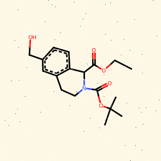 CCOC(=O)C1c2ccc(CO)cc2CCN1C(=O)OC(C)(C)C